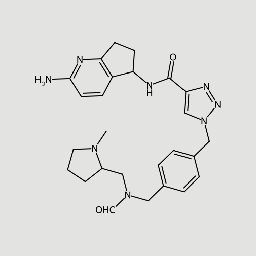 CN1CCCC1CN(C=O)Cc1ccc(Cn2cc(C(=O)NC3CCc4nc(N)ccc43)nn2)cc1